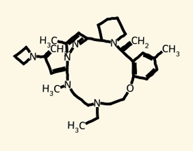 C=C(/C=C1/N(C)CCN(CC)CCOc2ccc(C)cc2C(=C)N2CCCCC2c2cc(C)n1n2)N1CCC1